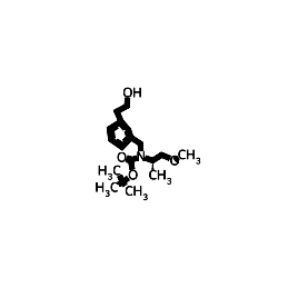 COC[C@H](C)N(Cc1cccc(CCO)c1)C(=O)OC(C)(C)C